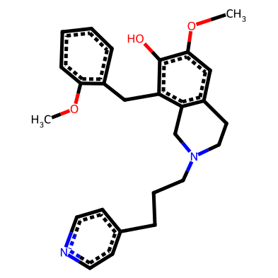 COc1ccccc1Cc1c(O)c(OC)cc2c1CN(CCCc1ccncc1)CC2